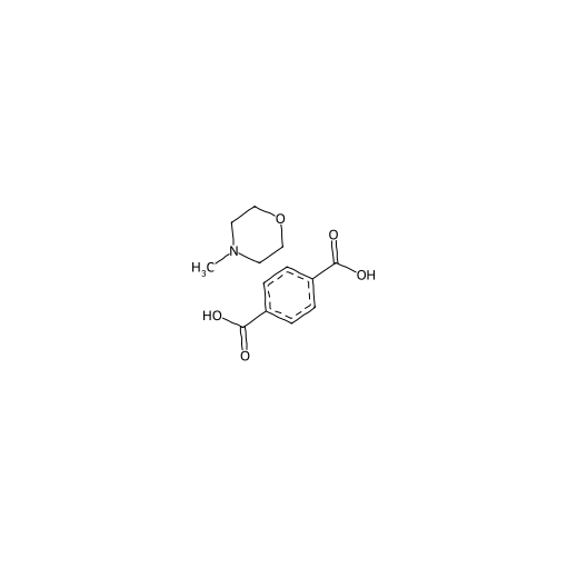 CN1CCOCC1.O=C(O)c1ccc(C(=O)O)cc1